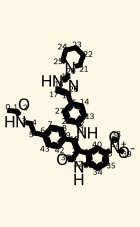 CC(=O)NCCc1ccc(C(Nc2ccc(-c3c[nH]c(N4CCCCC4)n3)cc2)=C2C(=O)Nc3ccc([N+](=O)[O-])cc32)cc1